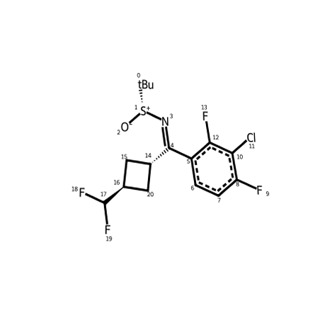 CC(C)(C)[S@@+]([O-])/N=C(/c1ccc(F)c(Cl)c1F)[C@H]1C[C@H](C(F)F)C1